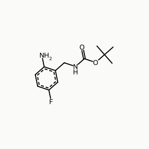 CC(C)(C)OC(=O)NCc1cc(F)ccc1N